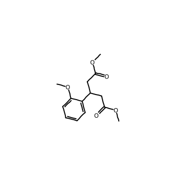 COC(=O)CC(CC(=O)OC)c1ccccc1OC